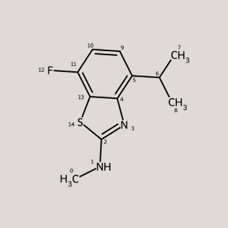 CNc1nc2c(C(C)C)ccc(F)c2s1